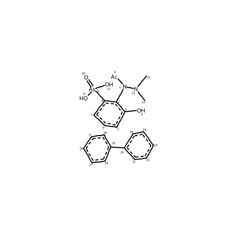 CC(=O)N(c1c(O)cccc1[As](=O)(O)O)N(C)C.c1ccc(-c2ccccc2)cc1